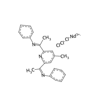 CC(=Nc1ccccc1)c1cc(C)cc(C(C)=Nc2ccccc2)n1.[Cl-].[Cl-].[Cl-].[Nd+3]